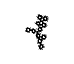 c1ccc(-c2ccc(N(c3ccc(-c4ccc(-c5ccccc5)cc4-c4ccccc4)cc3)c3ccc(-c4cccc5c(-c6ccccc6)c(-c6ccccc6)c6ccccc6c45)cc3)cc2)cc1